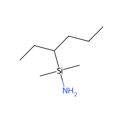 CCCC(CC)[Si](C)(C)N